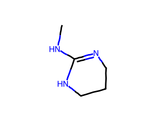 CNC1=NCCCN1